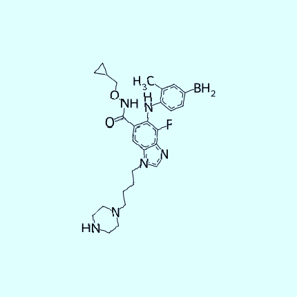 Bc1ccc(Nc2c(C(=O)NOCC3CC3)cc3c(ncn3CCCCN3CCNCC3)c2F)c(C)c1